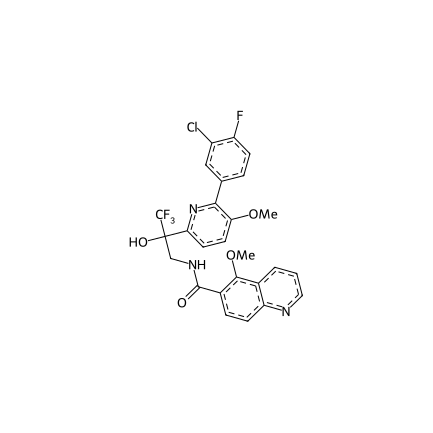 COc1ccc(C(O)(CNC(=O)c2ccc3ncccc3c2OC)C(F)(F)F)nc1-c1ccc(F)c(Cl)c1